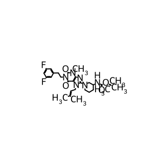 CC(C)=CCn1c(N2CCCC(NC(=O)OC(C)(C)C)C2)nc2c1c(=O)n(CCc1cc(F)cc(F)c1)c(=O)n2C